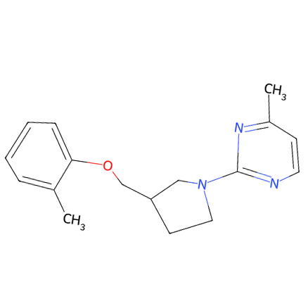 Cc1ccnc(N2CCC(COc3ccccc3C)C2)n1